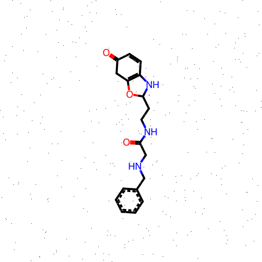 O=C1C=CC2=C(C1)OC(CCNC(=O)CNCc1ccccc1)N2